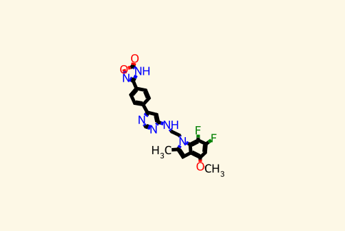 COc1cc(F)c(F)c2c1cc(C)n2CCNc1cc(-c2ccc(-c3noc(=O)[nH]3)cc2)ncn1